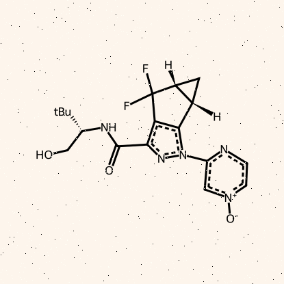 CC(C)(C)[C@@H](CO)NC(=O)c1nn(-c2c[n+]([O-])ccn2)c2c1C(F)(F)[C@@H]1C[C@H]21